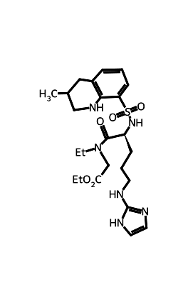 CCOC(=O)CN(CC)C(=O)[C@H](CCCNc1ncc[nH]1)NS(=O)(=O)c1cccc2c1NCC(C)C2